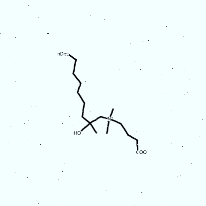 CCCCCCCCCCCCCCCCC(C)(O)C[N+](C)(C)CCCC(=O)[O-]